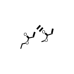 C=C.C=C.C=CC(=O)OC.C=CC(=O)OCC